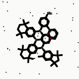 Cc1cc2c3c(c1)N(c1ccc(C(C)(C)C)cc1-c1ccccc1)c1cc4c(cc1B3c1cc3c(cc1N2c1cc2c(cc1C)C(C)(C)CC2(C)C)C(C)(C)CCC3(C)C)C(C)(C)CCC4(C)C